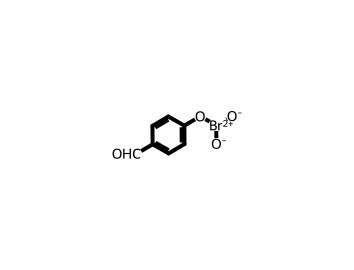 O=Cc1ccc(O[Br+2]([O-])[O-])cc1